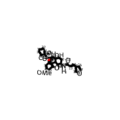 COc1ccc2c3c1O[C@@H]1[C@@H](NC(=O)/C=C/c4ccoc4)CC[C@]4(O)[C@H](C2)N(S(=O)(=O)c2ccccc2Cl)CC[C@@]314